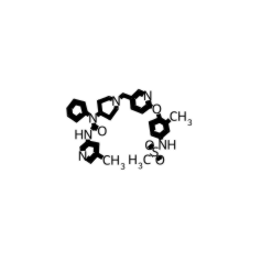 Cc1cncc(NC(=O)N(c2ccccc2)C2CCN(Cc3ccc(Oc4ccc(NS(C)(=O)=O)cc4C)nc3)CC2)c1